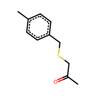 CC(=O)CSCc1ccc(C)cc1